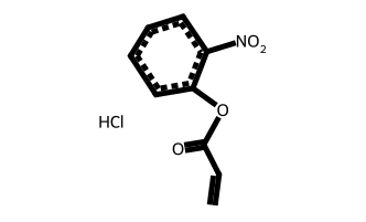 C=CC(=O)Oc1ccccc1[N+](=O)[O-].Cl